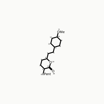 CCCCCC1CCC(CCC2CCC(OC)CC2)OC1=O